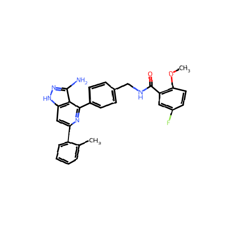 COc1ccc(F)cc1C(=O)NCc1ccc(-c2nc(-c3ccccc3C)cc3[nH]nc(N)c23)cc1